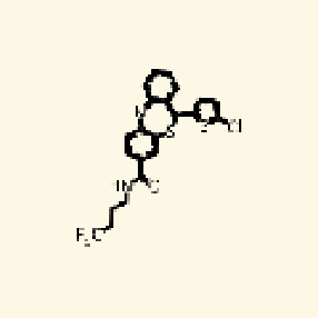 O=C(NCCCC(F)(F)F)c1ccc2c(c1)SC(c1ccc(Cl)s1)=c1ccccc1=N2